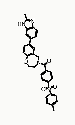 Cc1ccc(S(=O)(=O)c2ccc(C(=O)N3CCOc4ccc(-c5ccc6nc(C)[nH]c6c5)cc4C3)cc2)cc1